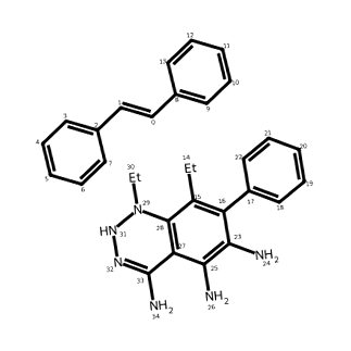 C(=Cc1ccccc1)c1ccccc1.CCc1c(-c2ccccc2)c(N)c(N)c2c1N(CC)NN=C2N